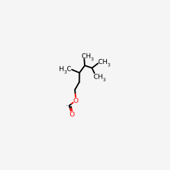 CC(C)C(C)C(C)CCO[C]=O